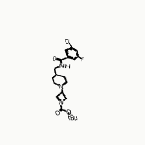 CC(C)(C)OC(=O)N1CC(N2CCC(CNC(=O)c3cc(F)cc(Cl)c3)CC2)C1